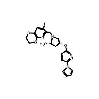 C[C@H]1C[C@@H](Oc2ccc(-n3cccc3)nn2)CN1Cc1nc2c(cc1F)OCCO2